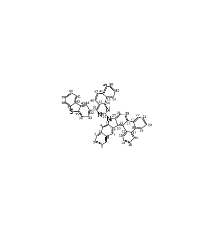 c1ccc2cc3c(cc2c1)c1c2c4ccccc4c4ccccc4c2ccc1n3-c1nc(-c2ccc3sc4ccccc4c3c2)c2ccc3ccccc3c2n1